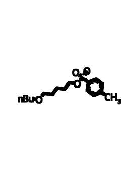 CCCCOCCCCCOS(=O)(=O)c1ccc(C)cc1